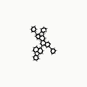 c1ccc(-c2ccc3c(c2)c(-c2ccc4c5c(cccc25)-c2ccccc2-4)cc2c4ccc(-c5ccccc5)c5c4c(cc32)-c2ncccc2-5)cc1